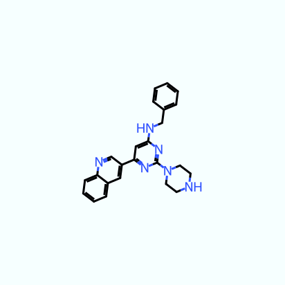 c1ccc(CNc2cc(-c3cnc4ccccc4c3)nc(N3CCNCC3)n2)cc1